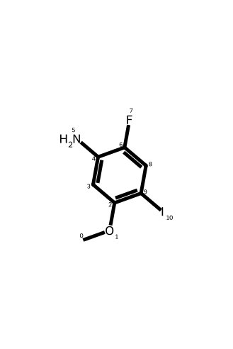 COc1cc(N)c(F)cc1I